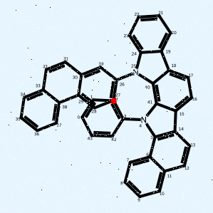 c1ccc(-n2c3c4ccccc4ccc3c3ccc4c5ccccc5n(-c5ccc6c(ccc7ccccc76)c5)c4c32)cc1